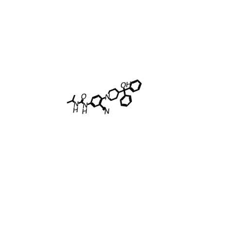 CC(C)NC(=O)Nc1ccc(N2CCC(C(O)(c3ccccc3)c3ccccc3)CC2)c(C#N)c1